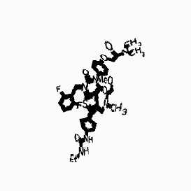 CCNC(=O)Nc1ccc(-c2sc3c(c2CN(C)CCOC)c(=O)n(-c2ccc(OCC(=O)N(C)C)cc2)c(=O)n3Cc2c(F)cccc2F)cc1